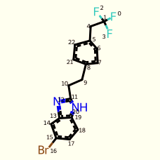 FC(F)(F)Cc1ccc(CCc2nc3cc(Br)ccc3[nH]2)cc1